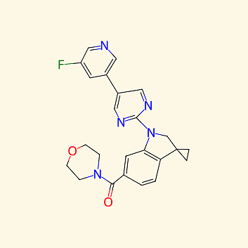 O=C(c1ccc2c(c1)N(c1ncc(-c3cncc(F)c3)cn1)CC21CC1)N1CCOCC1